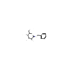 OCC1N/C(=N\Cc2ccccc2)[C@@H](O)C(O)[C@H]1O